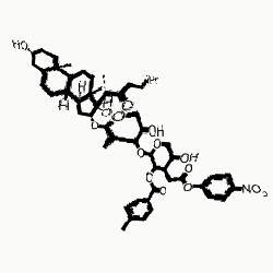 Cc1ccc(C(=O)OC2C(OC3C(O)COC(O[C@H]4C[C@H]5[C@@H]6CC=C7C[C@@H](O)CC[C@]7(C)C6CC[C@]5(C)[C@@]4(O)[C@H](C)C(=O)CCC(C)C)C3C)OCC(O)C2CC(=O)Oc2ccc([N+](=O)[O-])cc2)cc1